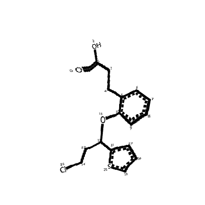 O=C(O)CCc1ccccc1OC(CCCl)c1cccs1